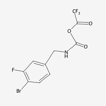 O=C(NCc1ccc(Br)c(F)c1)OC(=O)C(F)(F)F